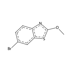 COc1nc2ccc(Br)cc2s1